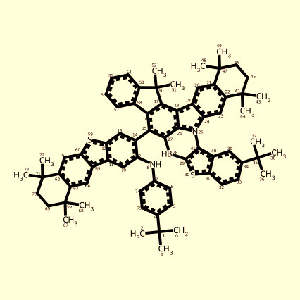 CC(C)(C)c1ccc(Nc2cc3c(cc2-c2c4c(c5c6cc7c(cc6n6c5c2Bc2sc5ccc(C(C)(C)C)cc5c2-6)C(C)(C)CCC7(C)C)C(C)(C)c2ccccc2-4)sc2cc4c(cc23)C(C)(C)CCC4(C)C)cc1